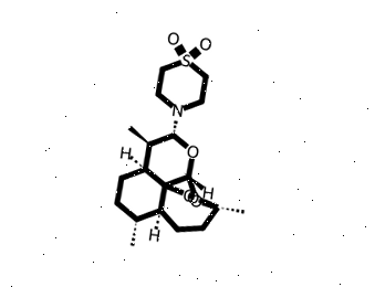 C[C@H]1[C@H](N2CCS(=O)(=O)CC2)O[C@@H]2O[C@]3(C)CC[C@H]4[C@H](C)CC[C@@H]1C24OO3